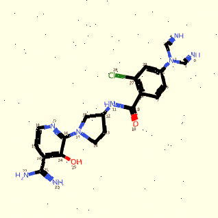 N=CN(C=N)c1ccc(C(=O)NC2CCN(c3nccc(C(=N)N)c3O)C2)c(Cl)c1